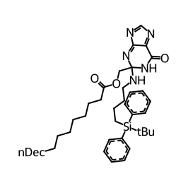 CCCCCCCCCCCCCCCCCC(=O)OCC1(NCCCC[Si](c2ccccc2)(c2ccccc2)C(C)(C)C)N=C2N=CN=C2C(=O)N1